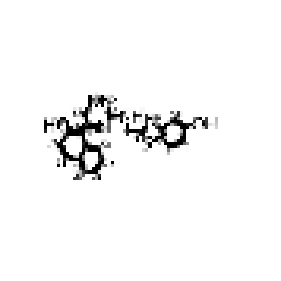 Oc1ccc2sc(CNc3nncc(-c4c(O)ccc5ccccc45)n3)nc2c1